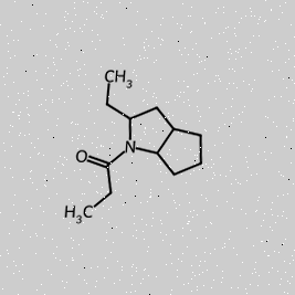 CCC(=O)N1C(CC)CC2CCCC21